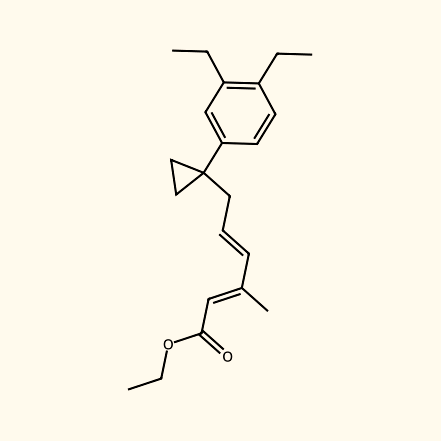 CCOC(=O)C=C(C)C=CCC1(c2ccc(CC)c(CC)c2)CC1